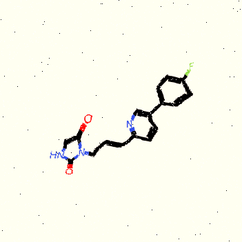 O=C1CNC(=O)N1C/C=C/c1ccc(-c2ccc(F)cc2)cn1